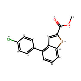 COC(=O)c1cc2c(-c3ccc(Cl)cc3)cccc2s1